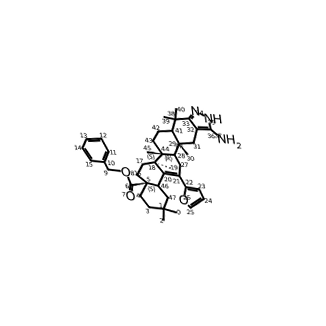 CC1(C)CC[C@]2(C(=O)OCc3ccccc3)CC[C@]3(C)C(=C(c4ccco4)CC4[C@@]5(C)Cc6c(n[nH]c6N)C(C)(C)C5CC[C@]43C)C2C1